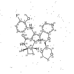 COc1c(F)cccc1Nc1c(-c2ccncc2OC[C@H]2COCCO2)[nH]c2c1C(=O)N[C@H]1CC[C@@H]21